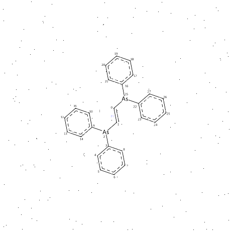 C(=C\[As](c1ccccc1)c1ccccc1)/[As](c1ccccc1)c1ccccc1